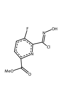 COC(=O)c1ccc(F)c(/C(Cl)=N/O)n1